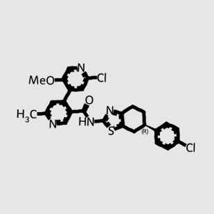 COc1cnc(Cl)cc1-c1cc(C)ncc1C(=O)Nc1nc2c(s1)C[C@H](c1ccc(Cl)cc1)CC2